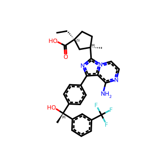 CC[C@]1(C(=O)O)CC[C@@](C)(c2nc(-c3ccc([C@@](C)(O)c4cccc(C(F)(F)F)c4)cc3)c3c(N)nccn23)C1